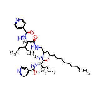 CCCCCCCCCCC(CNC(=O)[C@@H](NC(=O)c1ccncc1)C(C)CC)NC(=O)[C@@H](NC(=O)c1ccncc1)C(C)CC